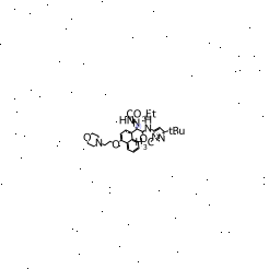 CCOC(=O)N/N=C(/C(=O)Nc1cc(C(C)(C)C)nn1C)c1ccc(OCCN2CCOCC2)c2ccccc12